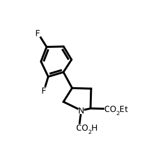 CCOC(=O)C1CC(c2ccc(F)cc2F)CN1C(=O)O